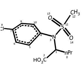 CCCC(C(=O)O)N(c1ccc(Cl)cc1)S(C)(=O)=O